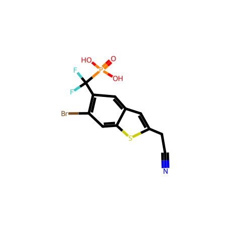 N#CCc1cc2cc(C(F)(F)P(=O)(O)O)c(Br)cc2s1